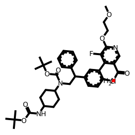 COCCOc1ncc(C(N)=O)c(-c2cc(C(CN(C(=O)OC(C)(C)C)C3CCC(NC(=O)OC(C)(C)C)CC3)c3ccccc3)ccc2Cl)c1F